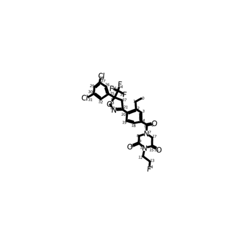 CCc1cc(C(=O)N2CC(=O)N(CCF)C(=O)C2)ccc1C1=NOC(c2cc(Cl)cc(Cl)c2)(C(F)(F)F)C1